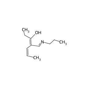 C\C=C/C(/C=N/CCC)=C(/O)CC